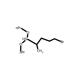 CCCO[SiH](OCCC)C(C)CCCBr